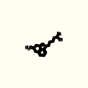 CCN(CC)CCCCn1cc2c3c(cccc31)CN(C)C2